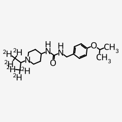 [2H]C([2H])([2H])C(N1CCC(NC(=O)NCc2ccc(OC(C)C)cc2)CC1)C([2H])([2H])[2H]